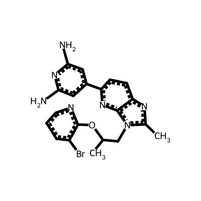 Cc1nc2ccc(-c3cc(N)nc(N)c3)nc2n1CC(C)Oc1ncccc1Br